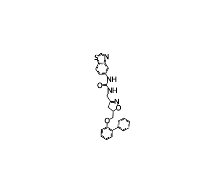 O=C(NCC1=NOC(COc2ccccc2-c2ccccc2)C1)Nc1ccc2scnc2c1